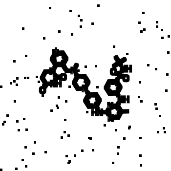 Cc1cnc(Nc2ccc(N3CCC(N(C)Cc4ccncc4N4CCC(=O)NC4=O)CC3)cc2)nc1Nc1cccc(S(=O)(=O)NC(C)(C)C)c1